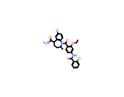 CCOc1cc(NC(=O)c2ccccc2Cl)ccc1C(=O)N1c2ccc(Cl)cc2C(C(N)=O)CCC1C